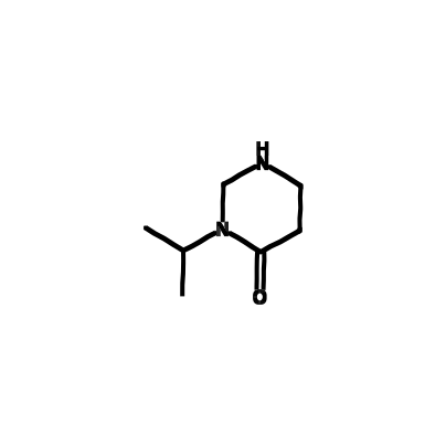 CC(C)N1CNCCC1=O